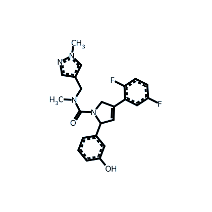 CN(Cc1cnn(C)c1)C(=O)N1CC(c2cc(F)ccc2F)=CC1c1cccc(O)c1